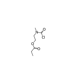 CCC(=O)OCCN(C)C(=O)Cl